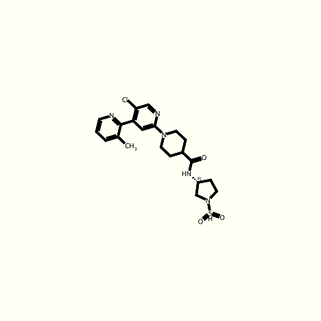 Cc1cccnc1-c1cc(N2CCC(C(=O)N[C@@H]3CCN([SH](=O)=O)C3)CC2)ncc1Cl